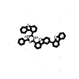 c1ccc(C2=NC(c3cccc4c3oc3ccc(-c5cccc6c5oc5ccccc56)cc34)NC(c3cccc4sc5ccccc5c34)N2)cc1